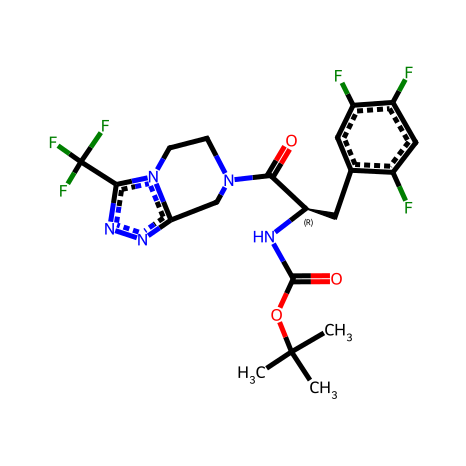 CC(C)(C)OC(=O)N[C@H](Cc1cc(F)c(F)cc1F)C(=O)N1CCn2c(nnc2C(F)(F)F)C1